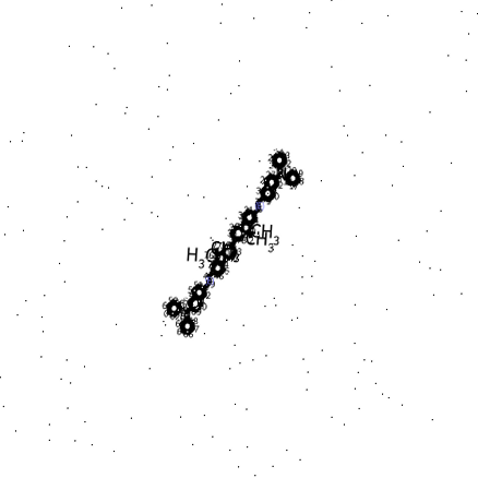 CC1(C)c2cc(/C=C/c3ccc4cc(N(c5ccccc5)c5ccccc5)ccc4c3)ccc2C2C=CC(C3=CC4C(C=C3)c3ccc(/C=C/c5ccc6cc(N(c7ccccc7)c7ccccc7)ccc6c5)cc3C4(C)C)=CC21